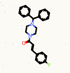 O=C(C=Cc1ccc(F)cc1)N1CCN(C(c2ccccc2)c2ccccc2)CC1